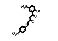 Bc1ccc(O)c(C(=O)CC(=O)/C=C/c2ccc([N+](=O)[O-])cc2)c1